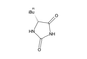 CC[C@@H](C)C1NC(=O)NC1=O